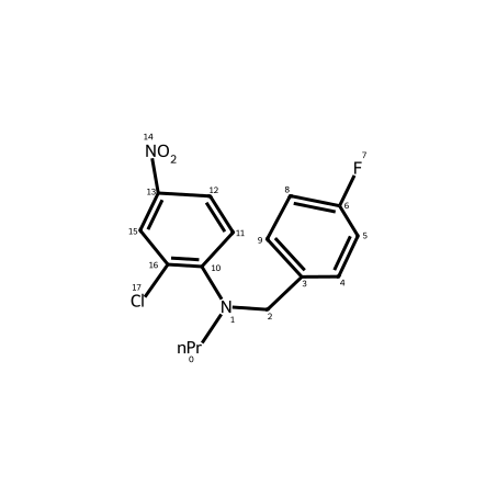 CCCN(Cc1ccc(F)cc1)c1ccc([N+](=O)[O-])cc1Cl